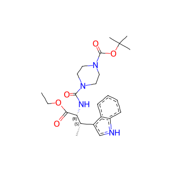 CCOC(=O)[C@H](NC(=O)N1CCN(C(=O)OC(C)(C)C)CC1)[C@@H](C)c1c[nH]c2ccccc12